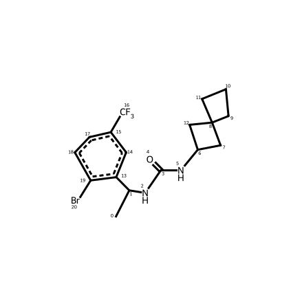 CC(NC(=O)NC1CC2(CCC2)C1)c1cc(C(F)(F)F)ccc1Br